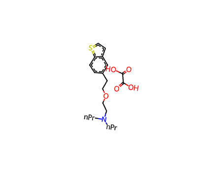 CCCN(CCC)CCOCCc1ccc2sccc2c1.O=C(O)C(=O)O